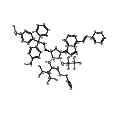 COc1ccc(C(OC[C@H]2O[C@@H](n3cnc4c(C=Cc5ccccc5)ncnc43)[C@H](O[Si](C)(C)C(C)(C)C)[C@@H]2OP(OCCC#N)N(C(C)C)C(C)C)(c2ccccc2)c2ccc(OC)cc2)cc1